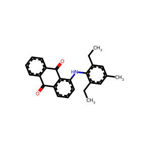 CCc1cc(C)cc(CC)c1Nc1cccc2c1C(=O)c1ccccc1C2=O